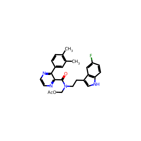 CC(=O)OCN(CCc1c[nH]c2ccc(F)cc12)C(=O)c1nccnc1-c1ccc(C)c(C)c1